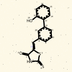 O=C1NC(=S)S/C1=C\c1cccc(-c2ccccc2O)c1